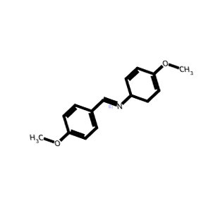 COC1=CCC(/N=C/c2ccc(OC)cc2)C=C1